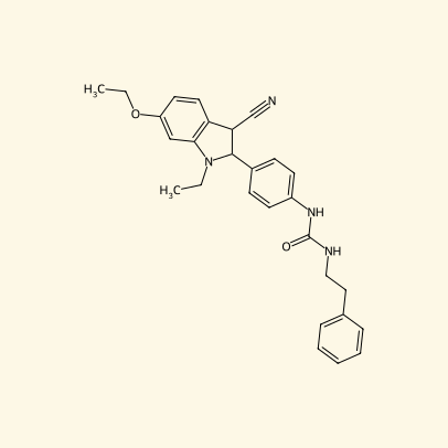 CCOc1ccc2c(c1)N(CC)C(c1ccc(NC(=O)NCCc3ccccc3)cc1)C2C#N